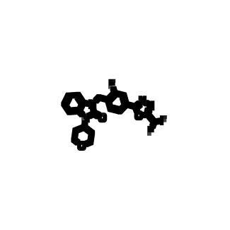 O=c1n(Cc2ccc(-c3nnc(C(F)F)o3)cc2F)c2ccccc2n1C1CCOCC1